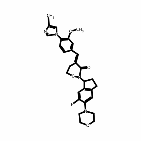 COc1cc(/C=C2\CCCN(C3CCc4cc(N5CCOCC5)c(F)cc43)C2=O)ccc1-n1cnc(C)c1